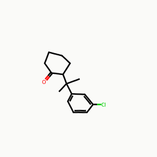 CC(C)(c1cccc(Cl)c1)C1CCCCC1=O